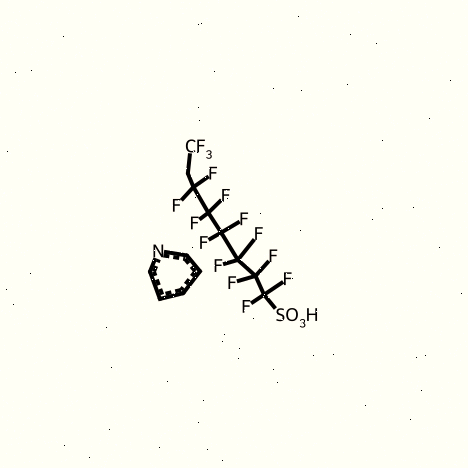 O=S(=O)(O)C(F)(F)C(F)(F)C(F)(F)C(F)(F)C(F)(F)C(F)(F)CC(F)(F)F.c1ccncc1